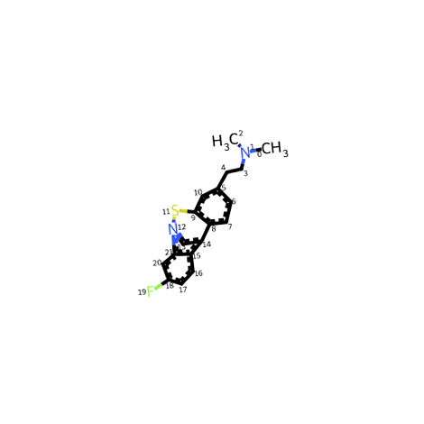 CN(C)CCc1ccc2c(c1)Sn1cc-2c2ccc(F)cc21